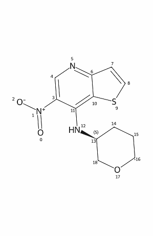 O=[N+]([O-])c1cnc2ccsc2c1N[C@H]1CC[CH]OC1